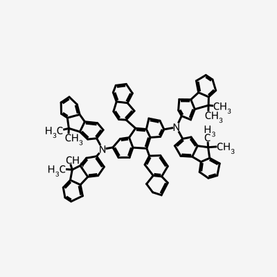 CC1(C)c2ccccc2-c2ccc(N(c3ccc4c(c3)C(C)(C)c3ccccc3-4)c3ccc4c(-c5ccc6ccccc6c5)c5cc(N(c6ccc7c(c6)C(C)(C)c6ccccc6-7)c6ccc7c(c6)C(C)(C)c6ccccc6-7)ccc5c(-c5ccc6c(c5)CCC=C6)c4c3)cc21